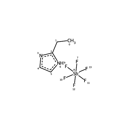 CCc1ncc[nH]1.[F][Sb-]([F])([F])([F])([F])[F]